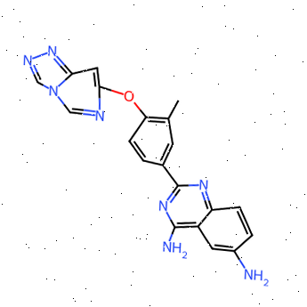 Cc1cc(-c2nc(N)c3cc(N)ccc3n2)ccc1Oc1cc2nncn2cn1